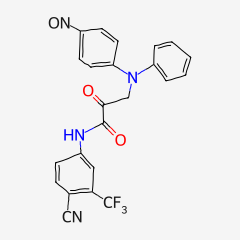 N#Cc1ccc(NC(=O)C(=O)CN(c2ccccc2)c2ccc(N=O)cc2)cc1C(F)(F)F